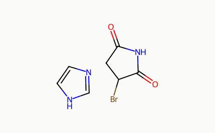 O=C1CC(Br)C(=O)N1.c1c[nH]cn1